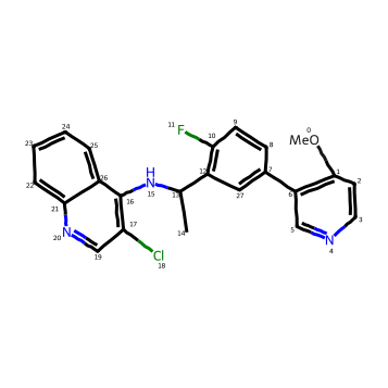 COc1ccncc1-c1ccc(F)c(C(C)Nc2c(Cl)cnc3ccccc23)c1